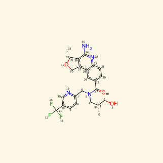 C[C@@H](CO)CN(Cc1ccc(C(F)(F)F)cn1)C(=O)c1ccc2nc(N)c3c(c2c1)CO[C@@H]3C